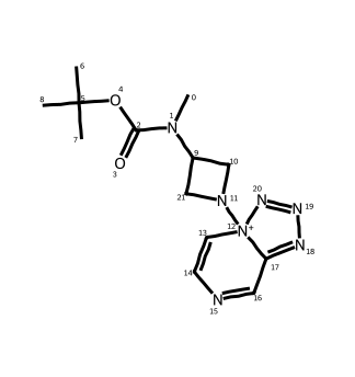 CN(C(=O)OC(C)(C)C)C1CN([N+]23C=CN=CC2=NN=N3)C1